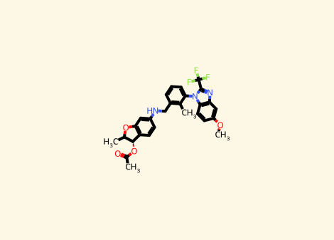 COc1ccc2c(c1)nc(C(F)(F)F)n2-c1cccc(CNc2ccc3c(c2)OC(C)[C@H]3OC(C)=O)c1C